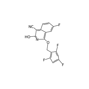 N#Cc1c(O)nc(OCc2c(F)cc(F)cc2F)c2cc(F)ccc12